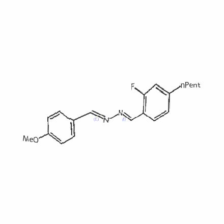 CCCCCc1ccc(/C=N/N=C/c2ccc(OC)cc2)c(F)c1